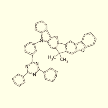 CC1(C)c2cc3oc4ccccc4c3cc2-c2cc3c4ccccc4n(-c4cccc(-c5nc(-c6ccccc6)nc(-c6ccccc6)n5)c4)c3cc21